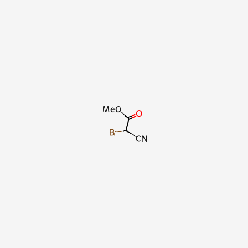 COC(=O)C(Br)C#N